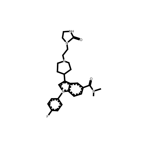 CN(C)C(=O)c1ccc2c(c1)c(C1CCN(CCN3CCNC3=O)CC1)cn2-c1ccc(F)cc1